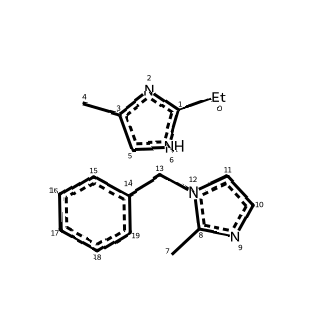 CCc1nc(C)c[nH]1.Cc1nccn1Cc1ccccc1